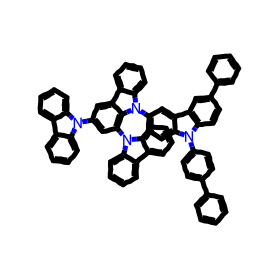 c1ccc(-c2ccc(-n3c4ccc(-c5ccccc5)cc4c4cc(-n5c6ccccc6c6cc(-n7c8ccccc8c8ccccc87)cc(-n7c8ccccc8c8ccccc87)c65)ccc43)cc2)cc1